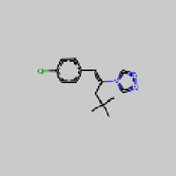 CC(C)(C)C/C(=C\c1ccc(Cl)cc1)n1cnnc1